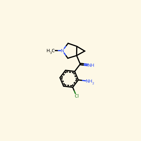 CN1CC2CC2(C(=N)c2cccc(Cl)c2N)C1